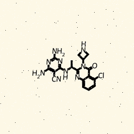 CC(Nc1nc(N)nc(N)c1C#N)c1nc2cccc(Cl)c2c(=O)n1C1CNC1